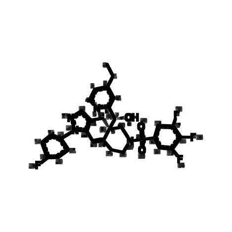 CCc1ccnc([C@H](O)[C@]23Cc4cnn(-c5ccc(F)cc5)c4C=C2CCN(S(=O)(=O)c2cc(F)c(F)c(F)c2)C3)c1